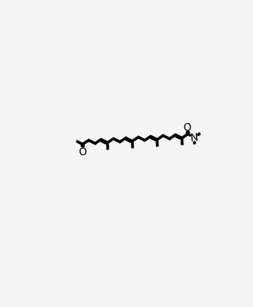 CC(=O)CC/C=C(\C)CC/C=C(\C)CC/C=C(\C)CC/C=C(\C)C(=O)N(C)C